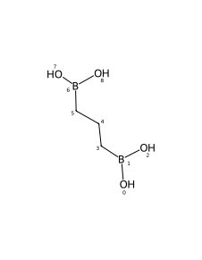 OB(O)CCCB(O)O